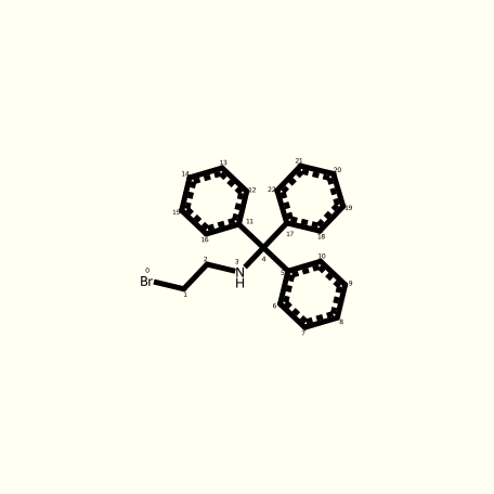 BrCCNC(c1ccccc1)(c1ccccc1)c1ccccc1